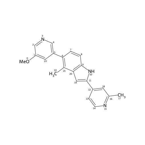 COc1cncc(-c2ccc3[nH]c(-c4ccnc(C)c4)cc3c2C)c1